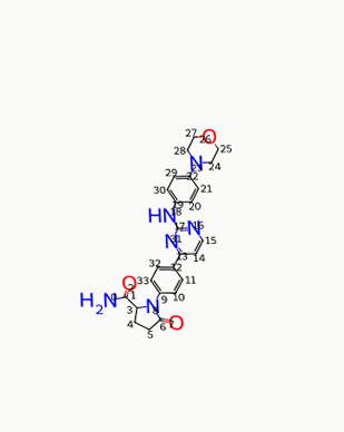 NC(=O)C1CCC(=O)N1c1ccc(-c2ccnc(Nc3ccc(N4CCOCC4)cc3)n2)cc1